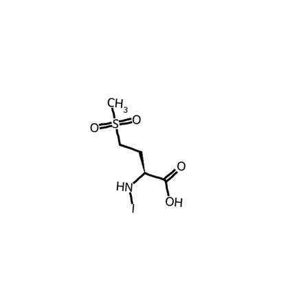 CS(=O)(=O)CC[C@H](NI)C(=O)O